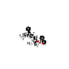 COC(=O)[C@H](CO[Si](c1ccccc1)(c1ccccc1)C(C)(C)C)NC(=O)CNC(=O)[C@H](CCc1ccccc1)NC(=O)OC(C)(C)C